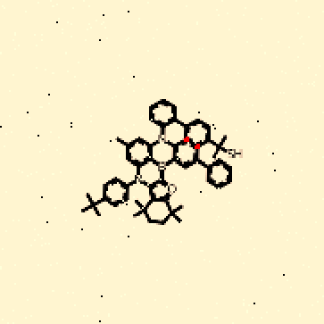 Cc1cc2c3c(c1)N(c1ccc(C(C)(C)C)cc1)c1c(oc4c1C(C)(C)CCC4(C)C)B3c1cc(-c3ccccc3)ccc1N2c1ccccc1-c1ccc(C(C)(C)S)cc1